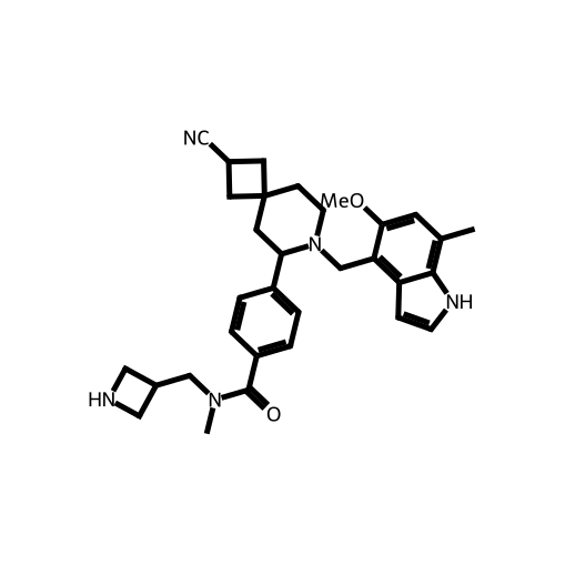 COc1cc(C)c2[nH]ccc2c1CN1CCC2(CC(C#N)C2)CC1c1ccc(C(=O)N(C)CC2CNC2)cc1